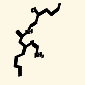 C=C\C=C/C=C(CC(=C)N/C=C/C(Cl)=C\C=C/C)/N=C\N